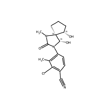 Cc1c(N2C(=O)N(C)[C@]3(CCC[C@@H]3O)[C@@H]2O)ccc(C#N)c1Cl